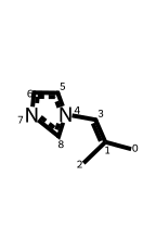 CC(C)=Cn1ccnc1